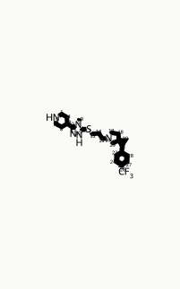 CN1C(C2CCNCC2)=NNC1SCCCN1CCC2(CC2c2ccc(C(F)(F)F)cc2)C1